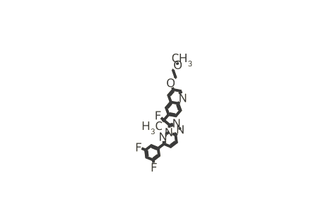 COCCOc1cnc2ccc(C(C)(F)c3nnc4ccc(-c5cc(F)cc(F)c5)nn34)cc2c1